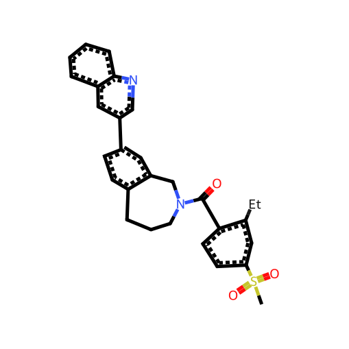 CCc1cc(S(C)(=O)=O)ccc1C(=O)N1CCCc2ccc(-c3cnc4ccccc4c3)cc2C1